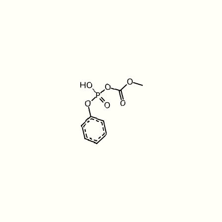 COC(=O)OP(=O)(O)Oc1ccccc1